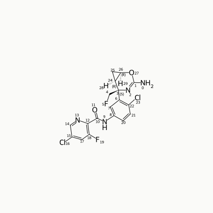 NC1=N[C@](CF)(c2cc(NC(=O)c3ncc(Cl)cc3F)ccc2Cl)[C@H]2C[C@H]2O1